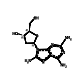 Nc1nc(N)c2nc(N)n([C@H]3C[C@H](O)[C@@H](CO)O3)c2n1